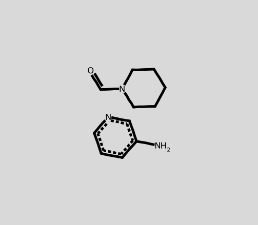 Nc1cccnc1.O=CN1CCCCC1